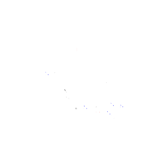 C[C@@H]1CC[C@@H](C#Cc2cc(CO)ccn2)CN1C(=O)c1ccccc1-n1nccn1